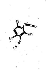 CCCc1c(N=C=O)c(CC)cc(CC)c1N=C=O